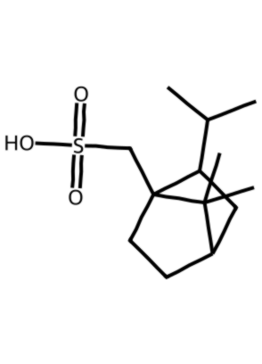 CC(C)C1CC2CCC1(CS(=O)(=O)O)C2(C)C